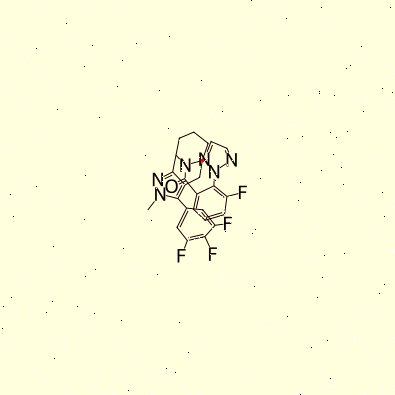 Cn1nc2c(c1-c1cc(F)c(F)c(F)c1)CC1CCCC2N1C(=O)c1cccc(F)c1-n1nccn1